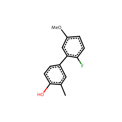 COc1ccc(F)c(-c2ccc(O)c(C)c2)c1